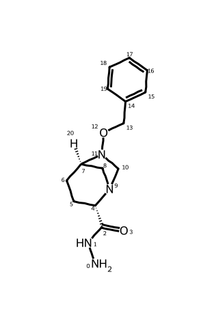 NNC(=O)[C@@H]1CC[C@@H]2CN1CN2OCc1ccccc1